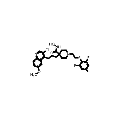 COc1ccc2ncc(Cl)c(CCCC3(C(=O)NO)CCN(CCSc4c(F)cc(F)cc4F)CC3)c2c1